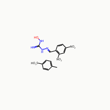 Cc1ccc(S(=O)(=O)O)cc1.N=C(NO)NN=Cc1ccc([N+](=O)[O-])cc1[N+](=O)[O-]